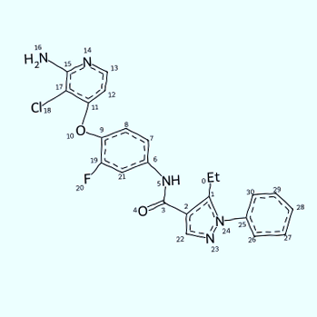 CCc1c(C(=O)Nc2ccc(Oc3ccnc(N)c3Cl)c(F)c2)cnn1-c1ccccc1